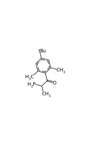 Cc1cc(C(C)(C)C)cc(C)c1C(=O)C(C)P